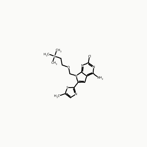 Cc1cnc(-c2cc3c(N)nc(Cl)nc3n2COCC[Si](C)(C)C)s1